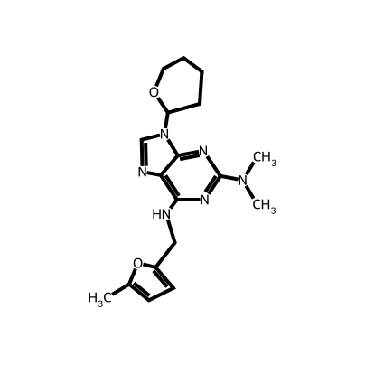 Cc1ccc(CNc2nc(N(C)C)nc3c2ncn3C2CCCCO2)o1